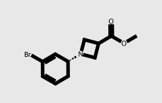 COC(=O)C1CN([C@H]2C=C(Br)C=CC2)C1